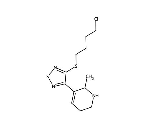 CC1NCCC=C1c1nsnc1SCCCCCl